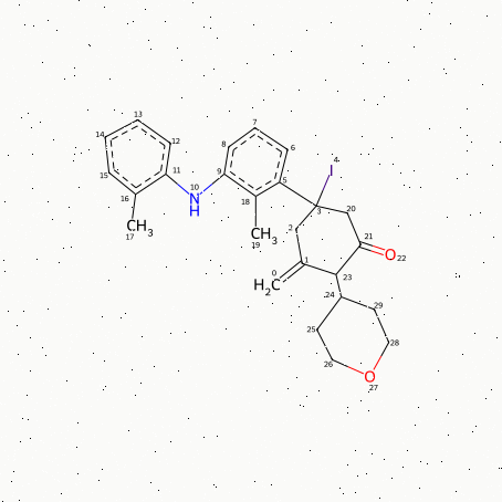 C=C1CC(I)(c2cccc(Nc3ccccc3C)c2C)CC(=O)C1C1CCOCC1